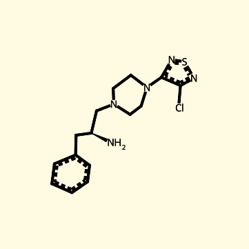 N[C@@H](Cc1ccccc1)CN1CCN(c2nsnc2Cl)CC1